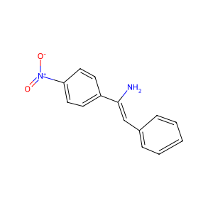 NC(=Cc1ccccc1)c1ccc([N+](=O)[O-])cc1